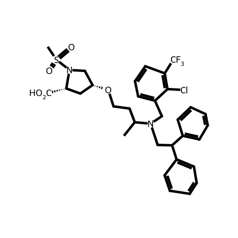 CC(CCO[C@@H]1C[C@H](C(=O)O)N(S(C)(=O)=O)C1)N(Cc1cccc(C(F)(F)F)c1Cl)CC(c1ccccc1)c1ccccc1